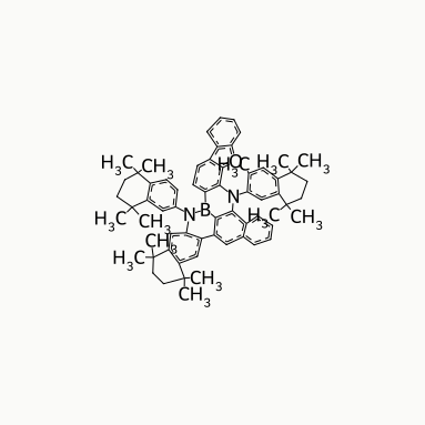 Cc1cc2c(cc1N1c3c4c(cc5ccccc35)-c3cc5c(cc3N(c3ccc6c(c3)C(C)(C)CCC6(C)C)B4c3ccc4c(oc6ccccc64)c31)C(C)(C)CCC5(C)C)C(C)(C)CCC2(C)C